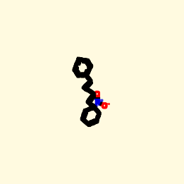 O=[N+]([O-])C1(C=CC=Cc2ccccc2)C=CC=CC1